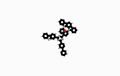 c1ccc(-c2ccc(-c3nc(-c4ccc(-n5c6ccccc6c6ccc7c8ccccc8n(-c8ccccc8)c7c65)cc4)nc(-c4ccc5c(c4)oc4ccccc45)n3)cc2)cc1